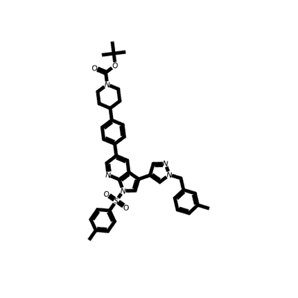 Cc1ccc(S(=O)(=O)n2cc(-c3cnn(Cc4cccc(C)c4)c3)c3cc(-c4ccc(C5CCN(C(=O)OC(C)(C)C)CC5)cc4)cnc32)cc1